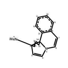 [CH2]NC1=C2C=CN3C=Cc4ccccc4C23C=C1